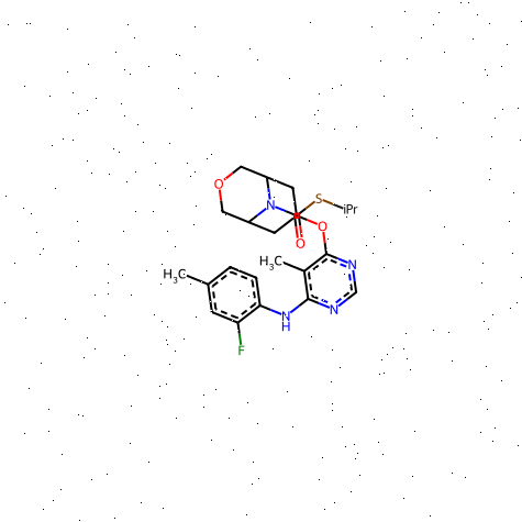 Cc1ccc(Nc2ncnc(OC3CC4COCC(C3)N4C(=O)SC(C)C)c2C)c(F)c1